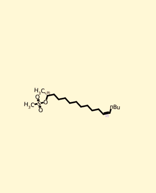 CCCC/C=C\CCCCCCCCC[C@@H](C)OS(C)(=O)=O